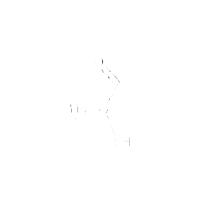 COC=O.[Hg]